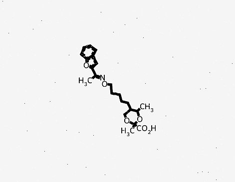 CC(=NOCCCCCC1COC(C)(C(=O)O)OC1C)c1cc2ccccc2o1